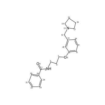 O=C(NCCCOc1cccc(CN2CCCC2)c1)c1ccccc1